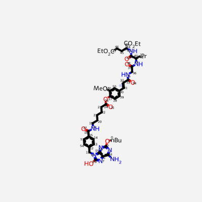 CCCCOc1nc(N)c2nc(O)n(Cc3ccc(C(=O)NCCCCCC(=O)Oc4ccc(/C=C/C(=O)NCC(=O)NC(C(=O)N[C@H](CCC(=O)OCC)C(=O)OCC)C(C)C)cc4OC)cc3)c2n1